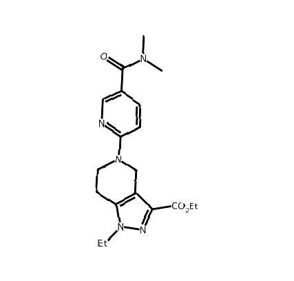 CCOC(=O)c1nn(CC)c2c1CN(c1ccc(C(=O)N(C)C)cn1)CC2